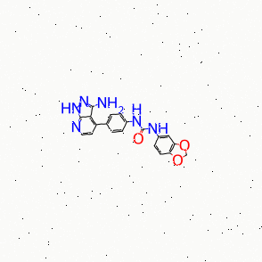 Nc1n[nH]c2nccc(-c3ccc(NC(=O)Nc4ccc5c(c4)OCO5)cc3)c12